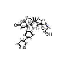 C[C@]12C[C@H](c3ccc(-c4cccnc4)cc3)[C@H]3[C@@H](CCC4=CC(=O)CC[C@@H]43)[C@@H]1CC[C@@]2(O)/C=C\CO